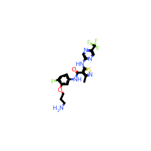 Cc1nsc(Nc2cnc(C(F)(F)F)cn2)c1C(=O)Nc1ccc(F)c(OCCCN)c1